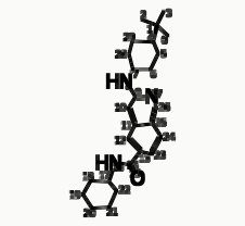 CC(C)(C)[C@H]1CC[C@H](Nc2cc3cc(C(=O)NC4CCCCC4)ccc3cn2)CC1